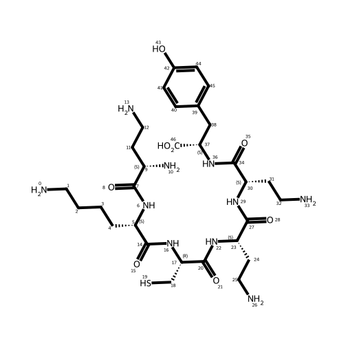 NCCCC[C@H](NC(=O)[C@@H](N)CCN)C(=O)N[C@@H](CS)C(=O)N[C@@H](CCN)C(=O)N[C@@H](CCN)C(=O)N[C@@H](Cc1ccc(O)cc1)C(=O)O